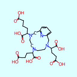 O=C(O)CCCC(C(=O)O)N1CCN(C(CCC(=O)O)C(=O)O)CCN(C(CCC(=O)O)C(=O)O)Cc2cccc(n2)C1